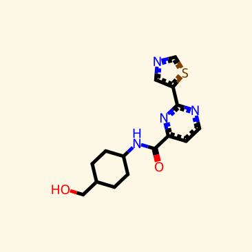 O=C(NC1CCC(CO)CC1)c1ccnc(-c2cncs2)n1